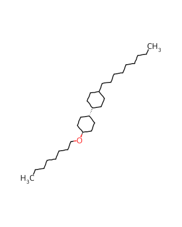 CCCCCCCCCC1CCC([C@H]2CC[C@H](OCCCCCCCC)CC2)CC1